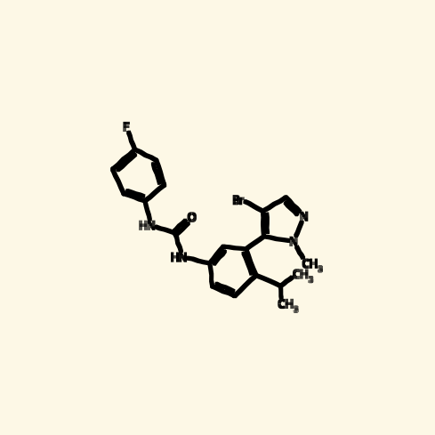 CC(C)c1ccc(NC(=O)Nc2ccc(F)cc2)cc1-c1c(Br)cnn1C